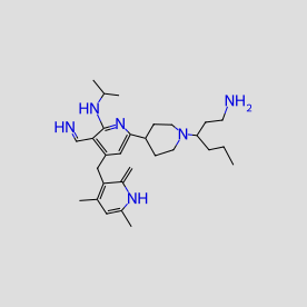 C=C1NC(C)=CC(C)=C1Cc1cc(C2CCN(C(CCC)CCN)CC2)nc(NC(C)C)c1C=N